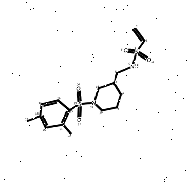 C=CS(=O)(=O)NC[C@H]1CCCN(S(=O)(=O)c2ccc(C)cc2C)C1